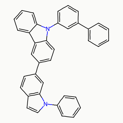 c1ccc(-c2cccc(-n3c4ccccc4c4cc(-c5ccc6ccn(-c7ccccc7)c6c5)ccc43)c2)cc1